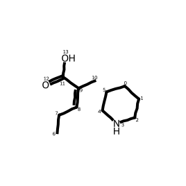 C1CCNCC1.CCC=C(C)C(=O)O